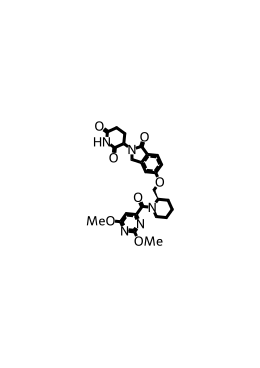 COc1cc(C(=O)N2CCCC[C@@H]2COc2ccc3c(c2)CN(C2CCC(=O)NC2=O)C3=O)nc(OC)n1